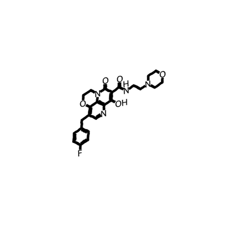 O=C(NCCN1CCOCC1)c1c(O)c2ncc(Cc3ccc(F)cc3)c3c2n(c1=O)CCO3